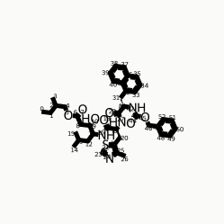 CCC(C)COC(=O)CC(O)C(CC(C)C)NC(=O)[C@H](Cc1scnc1C)NC(=O)[C@H](Cc1cccc2ccccc12)NC(=O)OCc1ccccc1